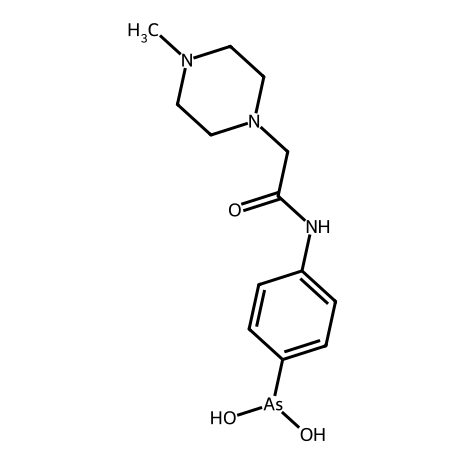 CN1CCN(CC(=O)Nc2ccc([As](O)O)cc2)CC1